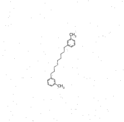 Cc1cccc(CCCCCCCCCc2cccc(C)c2)c1